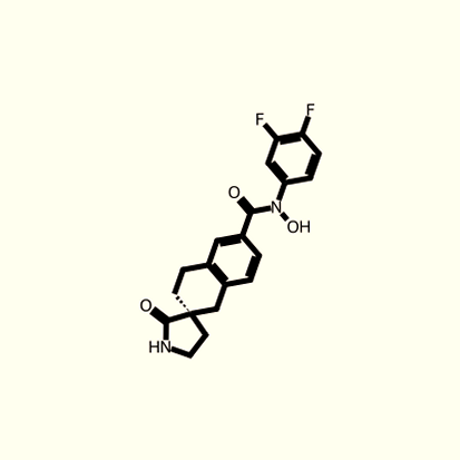 O=C(c1ccc2c(c1)CC[C@@]1(CCNC1=O)C2)N(O)c1ccc(F)c(F)c1